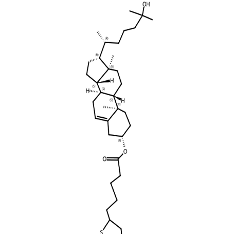 C[C@H](CCCC(C)(C)O)[C@H]1CC[C@H]2[C@@H]3CC=C4C[C@@H](OC(=O)CCCCC5CCSS5)CC[C@]4(C)[C@H]3CC[C@]12C